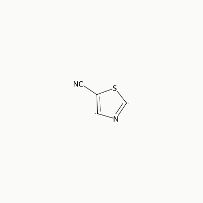 N#Cc1[c]n[c]s1